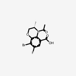 CC(=O)N1c2c(C(=O)O)cc(F)c(Br)c2OC[C@@H]1C